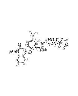 CNC(=O)c1c(-c2ccc(C)cc2)oc2nc(CN(CCCCC3(C(=O)O)CCOCC3)[SH](=O)=O)c(C3CC3)cc12